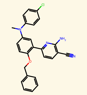 CN(c1ccc(Cl)cc1)c1ccc(OCc2ccccc2)c(-c2ccc(C#N)c(N)n2)c1